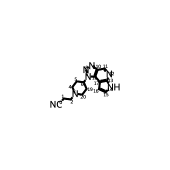 N#CCCN1CCC(n2nnc3cnc4[nH]ccc4c32)CC1